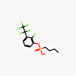 CCCCP(=O)(O)Oc1cccc(C(F)(F)C(F)(F)F)c1F